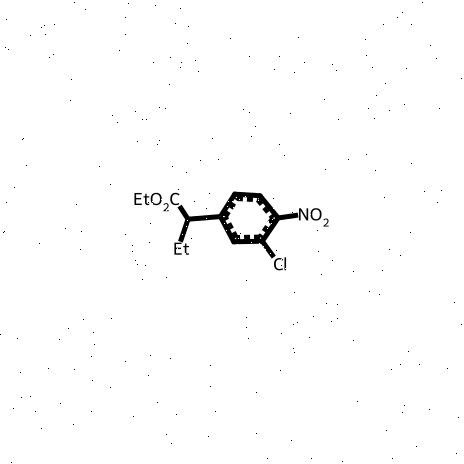 CCOC(=O)C(CC)c1ccc([N+](=O)[O-])c(Cl)c1